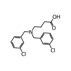 O=C(O)CCCN(Cc1cccc(Cl)c1)Cc1cccc(Cl)c1